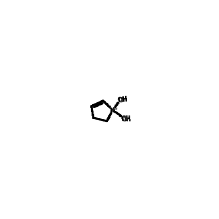 O[N+]1(O)C=CCC1